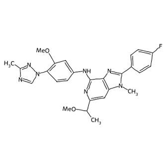 COc1cc(Nc2nc(C(C)OC)cc3c2nc(-c2ccc(F)cc2)n3C)ccc1-n1cnc(C)n1